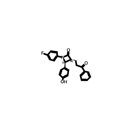 O=C(CC[C@H]1C(=O)N(c2ccc(F)cc2)[C@@H]1c1ccc(O)cc1)c1ccccc1